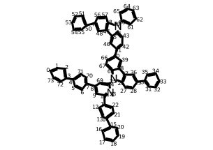 c1ccc(-c2ccc(-c3cc(-c4ccc(-c5ccccc5)cc4)nc(-n4c5ccc(-c6ccccc6)cc5c5cc(-c6ccc7c(c6)c6cc(-c8ccccc8)ccc6n7-c6ccccc6)ccc54)c3)cc2)cc1